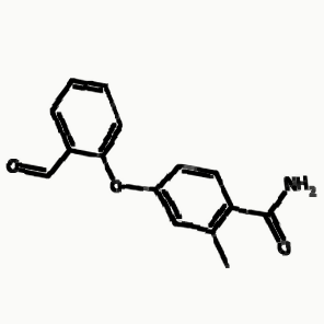 Cc1cc(Oc2ccccc2C=O)ccc1C(N)=O